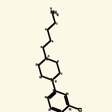 NCCCCN1CCN(c2cccc(Cl)c2)CC1